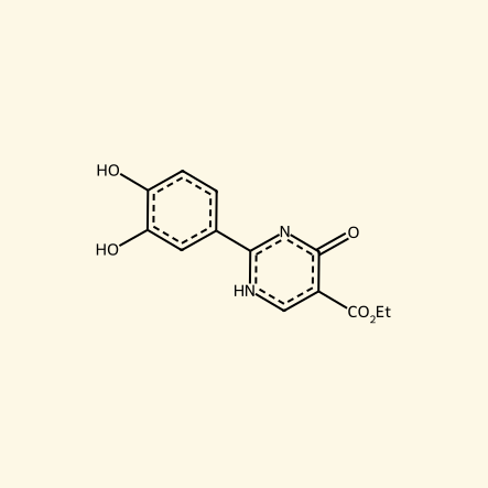 CCOC(=O)c1c[nH]c(-c2ccc(O)c(O)c2)nc1=O